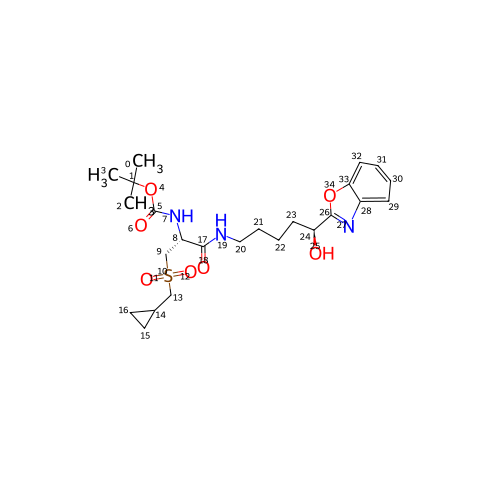 CC(C)(C)OC(=O)N[C@@H](CS(=O)(=O)CC1CC1)C(=O)NCCCC[C@H](O)c1nc2ccccc2o1